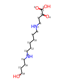 O=C(O)C(=O)CCNCCCCCCNCCCCO